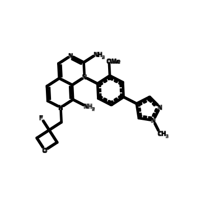 COc1cc(-c2cnn(C)c2)ccc1N1C(N)=NC=C2C=CN(CC3(F)COC3)C(N)=C21